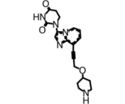 O=C1CCN(c2cnc3c(C#CCOC4CCNCC4)cccn23)C(=O)N1